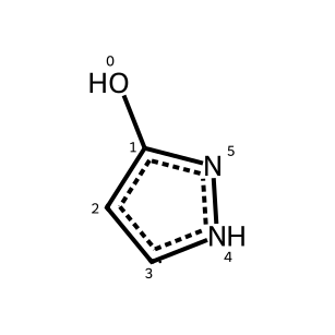 Oc1c[c][nH]n1